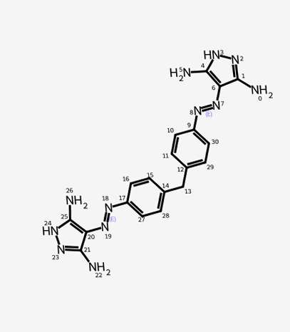 Nc1n[nH]c(N)c1/N=N/c1ccc(Cc2ccc(/N=N/c3c(N)n[nH]c3N)cc2)cc1